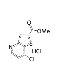 COC(=O)c1cc2nccc(Cl)c2s1.Cl